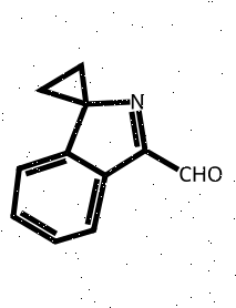 O=CC1=NC2(CC2)c2ccccc21